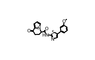 COc1cccc(-c2cnc(NC(=O)C3CCC(=O)c4cccn43)s2)c1